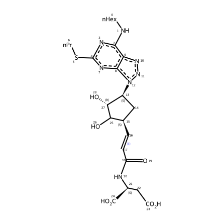 CCCCCCNc1nc(SCCC)nc2c1nnn2[C@H]1C[C@@H](/C=C/C(=O)N[C@@H](CC(=O)O)C(=O)O)C(O)[C@@H]1O